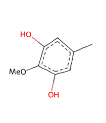 COc1c(O)cc(C)cc1O